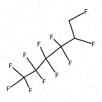 FCC(F)C(F)(F)C(F)(F)C(F)(F)C(F)(F)F